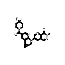 Cn1ncc2cc(N3CC4CC4c4cc(C(=O)N5CCC(F)(F)CC5)cnc43)cnc2c1=O